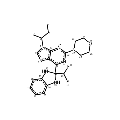 CCC(C)n1cnc2c(C3(C(F)F)Nc4ccccc4N3)nc(N3CCOCC3)nc21